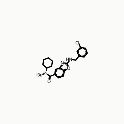 CCC(C)N(C(=O)c1ccc2oc(NCc3cccc(Cl)c3)nc2c1)C1CCCCC1